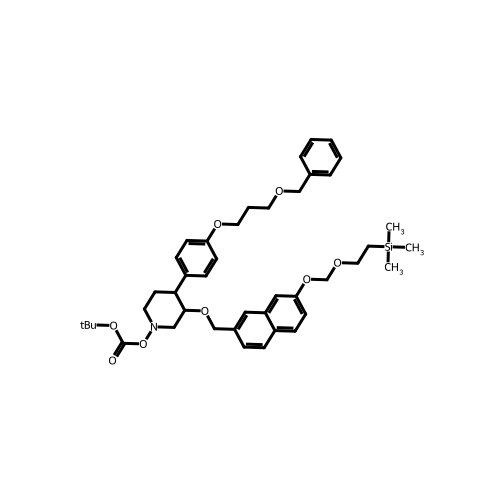 CC(C)(C)OC(=O)ON1CCC(c2ccc(OCCCOCc3ccccc3)cc2)C(OCc2ccc3ccc(OCOCC[Si](C)(C)C)cc3c2)C1